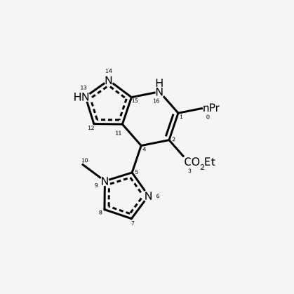 CCCC1=C(C(=O)OCC)C(c2nccn2C)c2c[nH]nc2N1